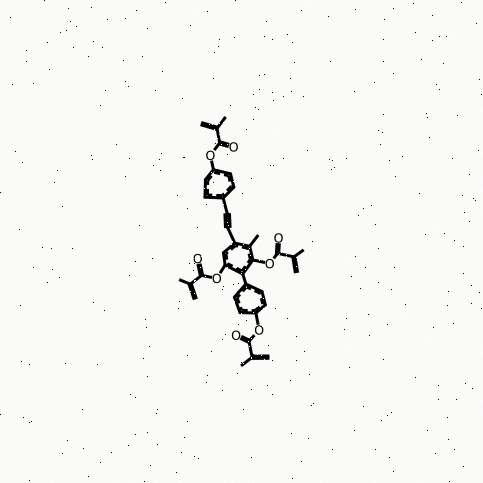 C=C(C)C(=O)Oc1ccc(C#Cc2cc(OC(=O)C(=C)C)c(-c3ccc(OC(=O)C(=C)C)cc3)c(OC(=O)C(=C)C)c2C)cc1